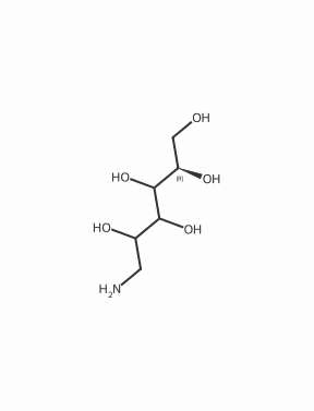 NCC(O)C(O)C(O)[C@H](O)CO